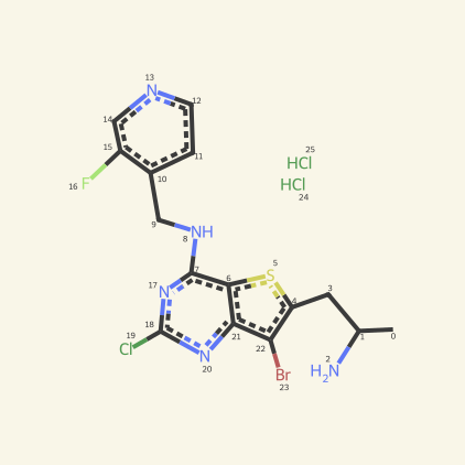 CC(N)Cc1sc2c(NCc3ccncc3F)nc(Cl)nc2c1Br.Cl.Cl